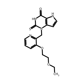 CCOCCOc1cccnc1Cn1c(=S)[nH]c(=O)c2[nH]ccc21